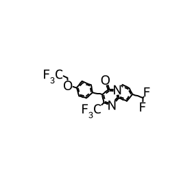 O=c1c(-c2ccc(OCC(F)(F)F)cc2)c(C(F)(F)F)nc2cc(C(F)F)ccn12